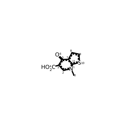 Cn1cc(C(=O)O)c(=O)c2ccsc21